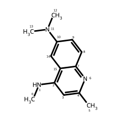 CNc1cc(C)nc2ccc(N(C)C)cc12